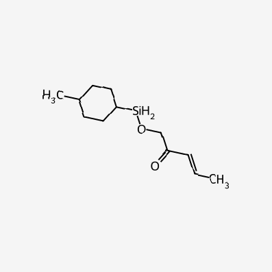 C/C=C/C(=O)CO[SiH2]C1CCC(C)CC1